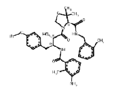 Cc1ccccc1CNC(=O)[C@H]1N(C(=O)[C@@H](O)[C@H](Cc2ccc(OC(C)C)cc2)NC(=O)c2cccc(N)c2C)CSC1(C)C